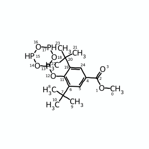 COC(=O)c1cc(C(C)(C)C)c(OP2OPOPO2)c(C(C)(C)C)c1